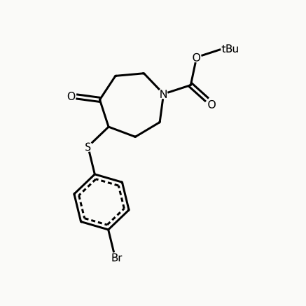 CC(C)(C)OC(=O)N1CCC(=O)C(Sc2ccc(Br)cc2)CC1